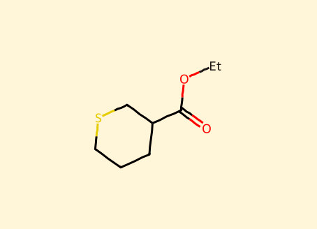 CCOC(=O)C1CCCSC1